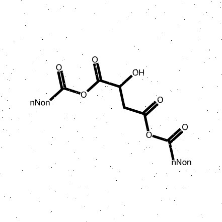 CCCCCCCCCC(=O)OC(=O)CC(O)C(=O)OC(=O)CCCCCCCCC